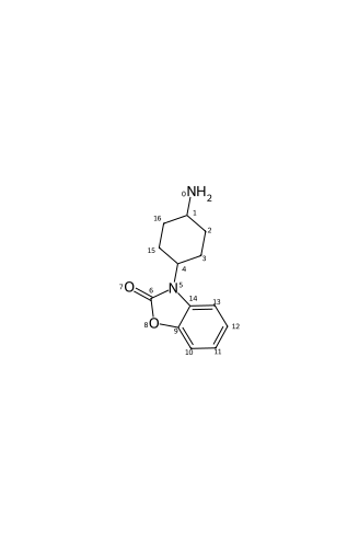 NC1CCC(n2c(=O)oc3ccccc32)CC1